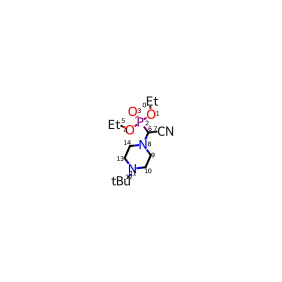 CCOP(=O)(OCC)C(C#N)N1CCN(C(C)(C)C)CC1